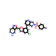 Cc1ccc(S(=O)(=O)N2Cc3nccc(-c4cc(Cl)cc5c4OC(c4onc6c4CNCC6)C5)c3C2)cc1